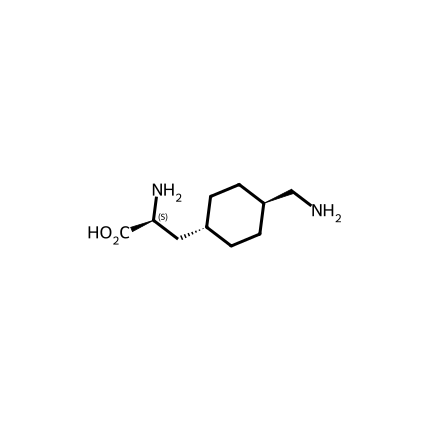 NC[C@H]1CC[C@H](C[C@H](N)C(=O)O)CC1